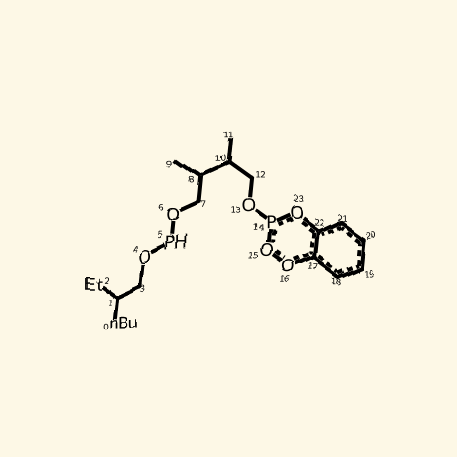 CCCCC(CC)COPOCC(C)C(C)COp1ooc2ccccc2o1